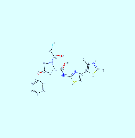 Cc1nc(C)c(-c2csc(NC(=O)[C@@H]3C[C@@H](Oc4ccccc4)CN3C(=O)CF)n2)s1